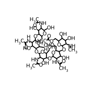 CNC1C(OC2C(CO)OC(OC3C(CO)OC(OC4C(CO)OC(OC5C(CO)OC(O)C(NC(C)=O)C5O)C(NC(C)=O)C4O)C(NC(C)=O)C3O)C(NC(C)=O)C2O)OC(COC(C)=O)C(O)C1O